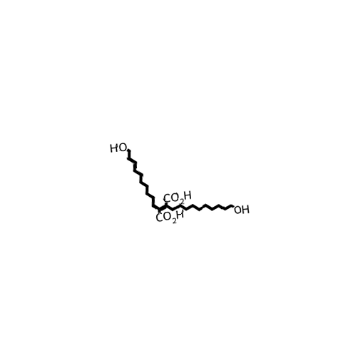 O=C(O)/C(CCCCCCCCCCO)=C(\CCCCCCCCCCO)C(=O)O